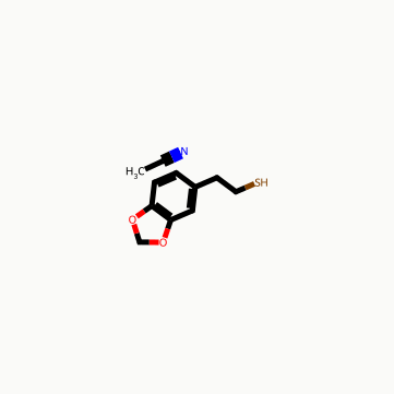 CC#N.SCCc1ccc2c(c1)OCO2